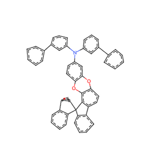 c1ccc(-c2cccc(N(c3cccc(-c4ccccc4)c3)c3ccc4c(c3)Oc3ccc5c(c3O4)C3(c4ccccc4-c4ccccc43)c3ccccc3-5)c2)cc1